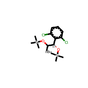 CCCCC(O[Si](C)(C)C)[C@@H](O[Si](C)(C)C)c1c(Cl)cccc1Cl